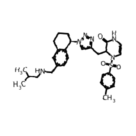 Cc1ccc(S(=O)(=O)N2C=CNC(=O)C2Cc2cn([C@@H]3CCCc4cc(CNCC(C)C)ccc43)nn2)cc1